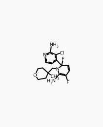 CC1(CN2C(N)=C(F)C=CC2(F)c2ccnc(N)c2Cl)CCOCC1